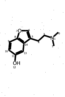 CN(C)CCc1coc2ccc(O)cc12